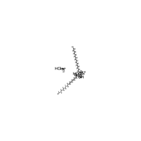 CCCCCCCCCCCCCCCCCC(=O)C(O)C(O)(C(=O)CCCCCCCCCCCCCCCCC)C(=O)OCC.CN(C)C.Cl